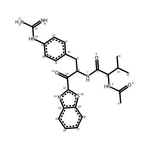 CC(=O)NC(C(=O)NC(Cc1ccc(NC(=N)N)cc1)C(=O)c1nc2ccccc2s1)C(C)C